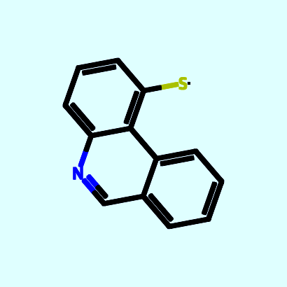 [S]c1cccc2ncc3ccccc3c12